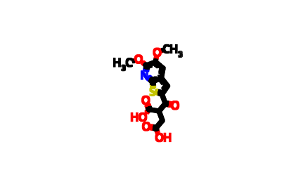 COc1cc2cc(C(=O)C(CC(=O)O)C(=O)O)sc2nc1OC